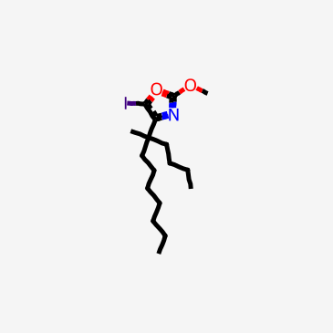 CCCCCCCC(C)(CCCC)c1nc(OC)oc1I